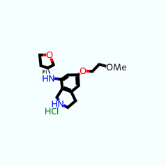 COCCOc1cc2c(c(N[C@@H]3CCOC3)c1)CNCC2.Cl